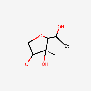 CCC(O)C1OCC(O)[C@]1(C)O